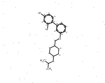 CC(C)CC1CCC(COc2[c]ccc(-c3ccc(F)cc3F)c2)CC1